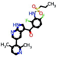 CCCS(=O)(=O)Nc1c(F)ccc(C(=O)c2c[nH]c3ncc(-c4c(C)ccnc4C)cc23)c1F